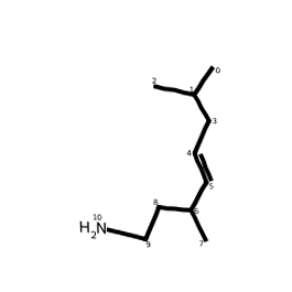 CC(C)CC=CC(C)CCN